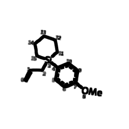 C=CC[Si]1(c2ccc(OC)cc2)CCCCC1